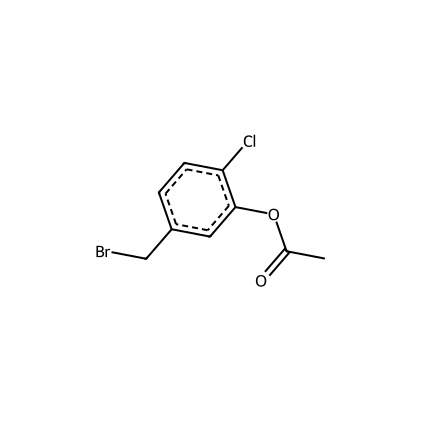 CC(=O)Oc1cc(CBr)ccc1Cl